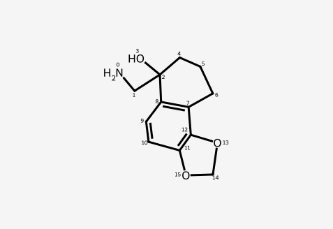 NCC1(O)CCCc2c1ccc1c2OCO1